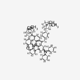 CC1CC2CCC(c3ccc4c(c3)-c3cc(C56CCC(CC(C)C5)C(C)C6)cc5c3C(C4)c3cc(N(c4ccccc4)c4ccccc4)cc4c3B5N3c5ccccc5Oc5cccc-4c53)(C1)CC2C